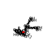 CC1(C)O[C@@H]2C[C@H]3[C@@H]4C[C@H](F)C5=CC(=O)C=C[C@]5(C)[C@H]4[C@@H](O)C[C@]3(C)[C@]2(C(=O)COC(=O)CC(NC(=O)CCCCCON(O)O)C(=O)OCCCCON(O)O)O1